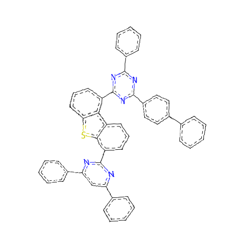 c1ccc(-c2ccc(-c3nc(-c4ccccc4)nc(-c4cccc5sc6c(-c7nc(-c8ccccc8)cc(-c8ccccc8)n7)cccc6c45)n3)cc2)cc1